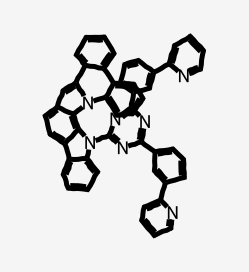 c1ccc(-c2cccc(-c3nc(-c4cccc(-c5ccccn5)c4)nc(-n4c5ccccc5c5ccc6cc7c8ccccc8c8ccccc8n7c6c54)n3)c2)nc1